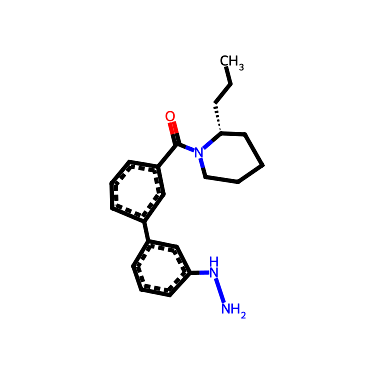 CCC[C@@H]1CCCCN1C(=O)c1cccc(-c2cccc(NN)c2)c1